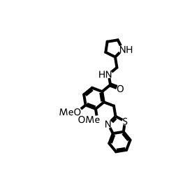 COc1ccc(C(=O)NCC2CCCN2)c(Cc2nc3ccccc3s2)c1OC